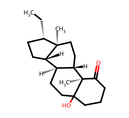 CC[C@H]1CC[C@H]2[C@@H]3CCC4(O)CCCC(=O)[C@]4(C)[C@H]3CC[C@]12C